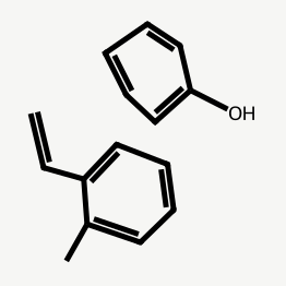 C=Cc1ccccc1C.Oc1ccccc1